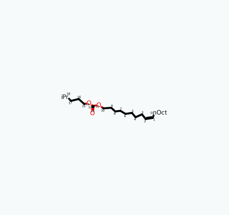 CCCCCCCC/C=C\CCCCCCCCOC(=O)OCCCC(C)C